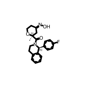 C[C@@]1(C(=O)N2CCc3ccccc3[C@@H]2c2ccc(F)cc2)CC(=NO)CCO1